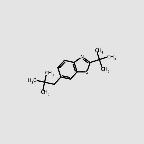 CC(C)(C)Cc1ccc2nc(C(C)(C)C)sc2c1